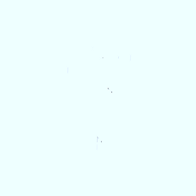 O=C(O)c1nc2c(cc1F)CNCC2